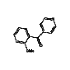 COc1ccccc1C(=O)c1ccncc1